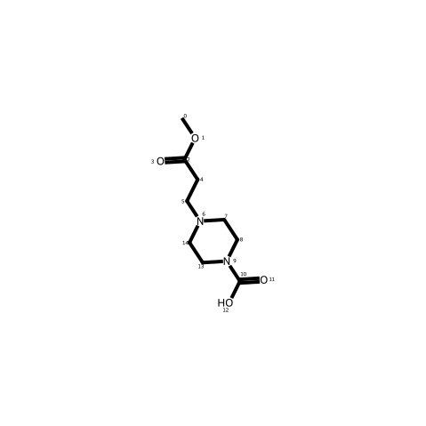 COC(=O)CCN1CCN(C(=O)O)CC1